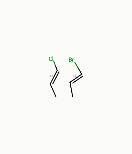 C/C=C/Br.C/C=C/Cl